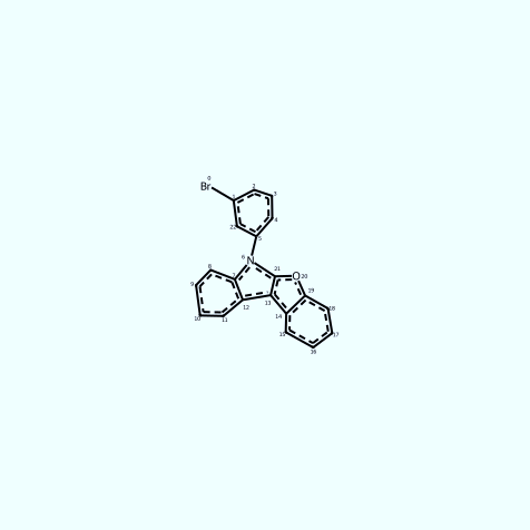 Brc1cccc(-n2c3ccccc3c3c4ccccc4oc32)c1